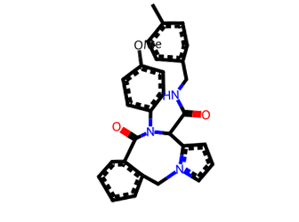 COc1ccc(N2C(=O)c3ccccc3Cn3cccc3C2C(=O)NCc2ccc(C)cc2)cc1